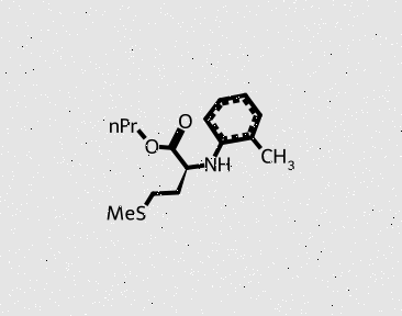 CCCOC(=O)[C@H](CCSC)Nc1ccccc1C